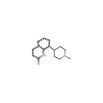 CN1CCC(c2cccc3ccc(=O)[nH]c23)CC1